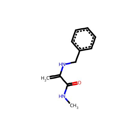 C=C(NCc1ccccc1)C(=O)NC